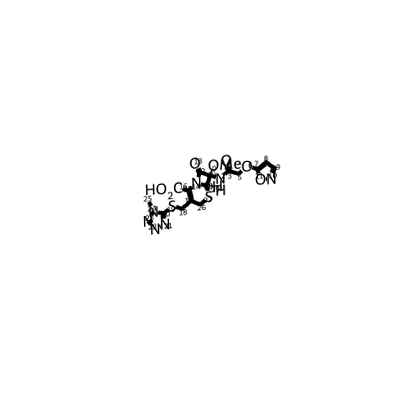 CO[C@@]1(NC(=O)COc2ccno2)C(=O)N2C(C(=O)O)=C(CSc3nnnn3C)CS[C@@H]21